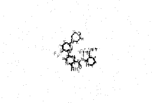 CCCN(CCC)c1cccnc1NC(=O)c1nc(-c2nc(N3CCOCC3)ccc2C(F)(F)F)cnc1N